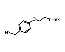 CCCCCCCCOc1ccc(CS)cc1